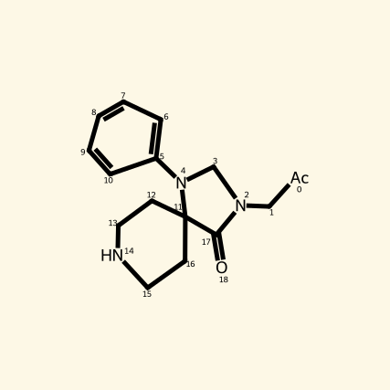 CC(=O)CN1CN(c2ccccc2)C2(CCNCC2)C1=O